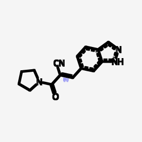 N#C/C(=C\c1ccc2cn[nH]c2c1)C(=O)N1CCCC1